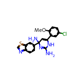 COc1ccc(Cl)cc1C1=CC(N)(c2ccc3ncsc3c2)N=C(N)N1